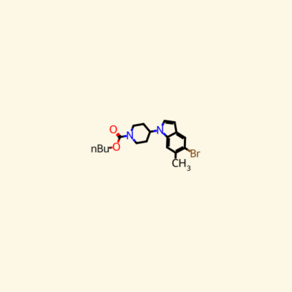 CCCCOC(=O)N1CCC(n2ccc3cc(Br)c(C)cc32)CC1